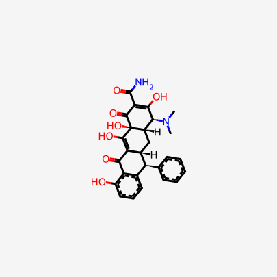 CN(C)[C@@H]1C(O)=C(C(N)=O)C(=O)[C@@]2(O)C(O)=C3C(=O)c4c(O)cccc4[C@H](c4ccccc4)[C@H]3C[C@@H]12